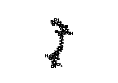 Cc1ncoc1-c1ccc(CNC(=O)[C@@H]2C[C@@H](O)CN2C(=O)[C@@H](NC(=O)COCCCCOc2ccc(-c3ccc(N4C(=S)N(c5cnc(C#N)c(C(F)(F)F)c5)C(=O)C4(C)C)cc3)cc2)C(C)(C)C)cc1